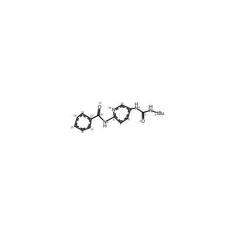 CC(C)(C)NC(=O)Nc1ccc(NC(=O)c2ccccc2)nc1